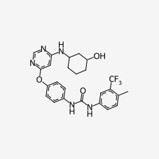 Cc1ccc(NC(=O)Nc2ccc(Oc3cc(NC4CCCC(O)C4)ncn3)cc2)cc1C(F)(F)F